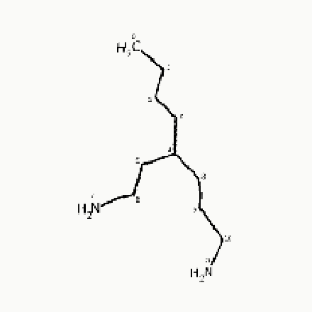 CCCCC(CCN)CCCN